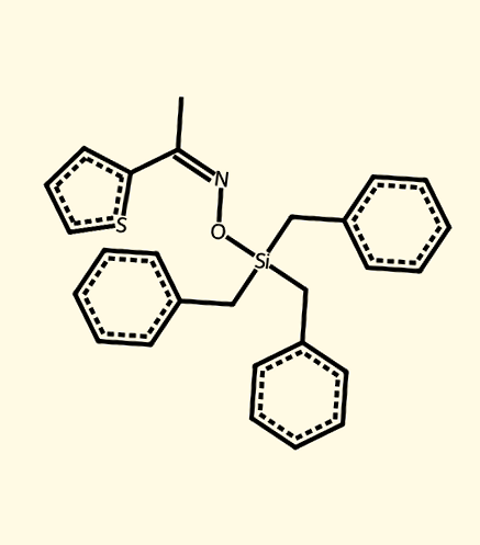 CC(=NO[Si](Cc1ccccc1)(Cc1ccccc1)Cc1ccccc1)c1cccs1